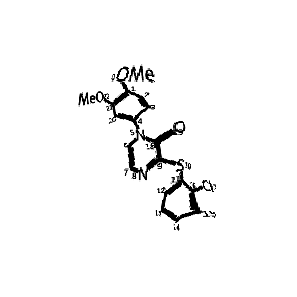 COc1ccc(-n2ccnc(Sc3ccccc3Cl)c2=O)cc1OC